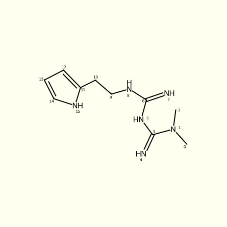 CN(C)C(=N)NC(=N)NCCc1ccc[nH]1